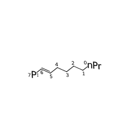 CCCCCCCC=C[P]